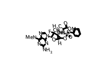 CNc1nc(N)nc2c1ncn2[C@@H]1O[C@@H]2C(O[P@@](=O)(N[C@H](C)C(=O)OC)Oc3ccccc3)[C@]2(O)[C@@]1(C)F